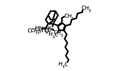 CCCCCCCCC1=C(CCCCCC)C(CC)=C(C2([SiH](C)C)C3CC4CC(C3)CC2(C(=O)[NH][Ti+2])C4)C1C.[Cl-].[Cl-]